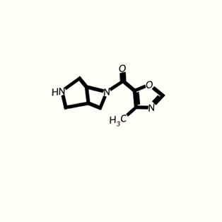 Cc1ncoc1C(=O)N1CC2CNCC21